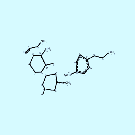 C=CCN.CC1CCCC(N)C1.CC1CCCCC1N.COc1ccc(CCN)cc1